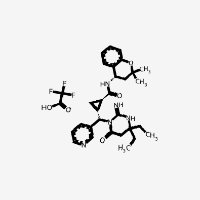 CCC1(CC)CC(=O)N(C(c2cccnc2)[C@@H]2C[C@H]2C(=O)N[C@H]2CC(C)(C)Oc3ccccc32)C(=N)N1.O=C(O)C(F)(F)F